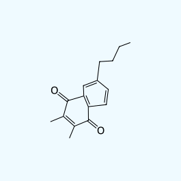 CCCCc1ccc2c(c1)C(=O)C(C)=C(C)C2=O